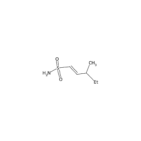 CCC(C)C=CS(N)(=O)=O